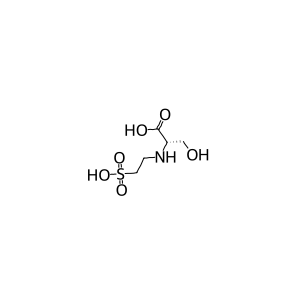 O=C(O)[C@H](CO)NCCS(=O)(=O)O